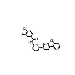 O=C(NC1CCCN(c2ccc(-c3ccccc3Cl)nn2)C1)c1ccc(Cl)c(F)c1